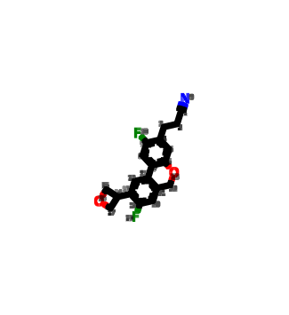 N#CCCc1cc2c(cc1F)-c1cc(C3COC3)c(F)cc1CO2